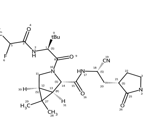 CC(C)(C)[C@H](NC(=O)C(F)C(F)(F)F)C(=O)N1C[C@H]2[C@@H]([C@H]1C(=O)N[C@H](C#N)C[C@@H]1CCNC1=O)C2(C)C